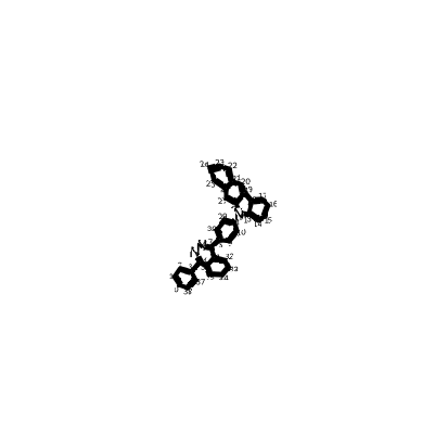 c1ccc(-c2nnc(-c3ccc(-n4c5ccccc5c5cc6ccccc6cc54)cc3)c3ccccc23)cc1